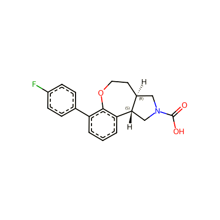 O=C(O)N1C[C@@H]2CCOc3c(-c4ccc(F)cc4)cccc3[C@H]2C1